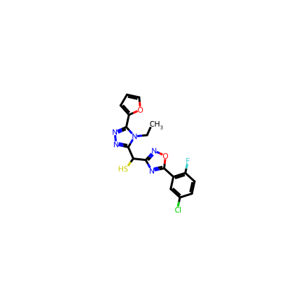 CCn1c(-c2ccco2)nnc1C(S)c1noc(-c2cc(Cl)ccc2F)n1